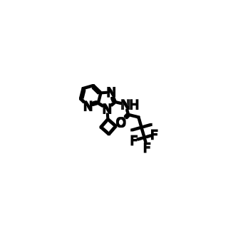 CC(C)(CC(=O)Nc1nc2cccnc2n1C1CCC1)C(F)(F)F